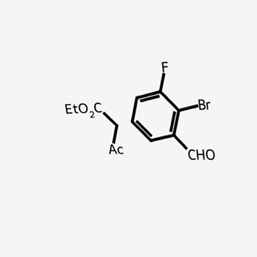 CCOC(=O)CC(C)=O.O=Cc1cccc(F)c1Br